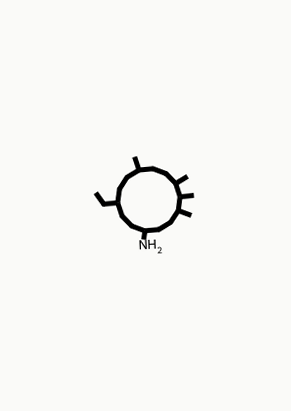 CCC1CCC(C)CCC(C)C(C)C(C)CCC(N)CC1